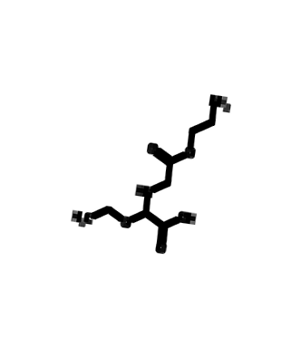 CCOC(NCC(=O)OCCN)C(=O)O